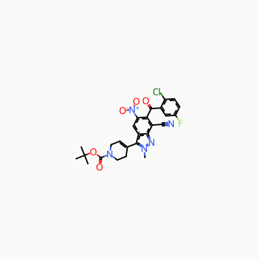 Cn1nc2c(C#N)c(C(=O)c3cc(F)ccc3Cl)c([N+](=O)[O-])cc2c1C1=CCN(C(=O)OC(C)(C)C)CC1